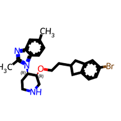 Cc1ccc2c(c1)nc(C)n2[C@@H]1CCNC[C@H]1OCCC1Cc2ccc(Br)cc2C1